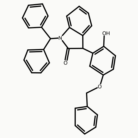 O=C1C(c2cc(OCc3ccccc3)ccc2O)c2ccccc2N1C(c1ccccc1)c1ccccc1